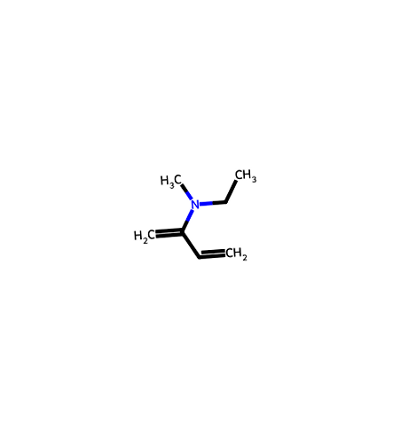 C=CC(=C)N(C)CC